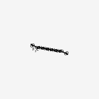 C=CC(=O)OCCCCOc1ccc(N=Nc2ccc(N=Nc3ccc(N=Nc4ccc(N=Nc5ccc(N=Nc6ccc(OCCCCOC(=O)C=C)c(C(F)(F)F)c6)cc5)cc4C)cc3)cc2C)cc1C